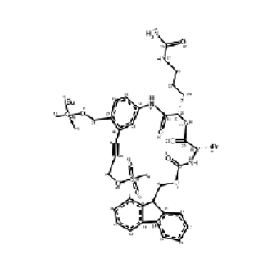 CC(C)[C@H](NC(=O)OCC1c2ccccc2-c2ccccc21)C(=O)N[C@@H](CCCNC(N)=O)C(=O)Nc1ccc(CO[Si](C)(C)C(C)(C)C)c(C#CCOS(C)(=O)=O)c1